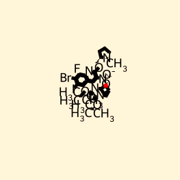 CN1CCC[C@H]1COc1nc2c(F)c(Br)c(I)cc2c(N(C(=O)OC(C)(C)C)C23CC(CN2C(=O)OC(C)(C)C)C3)c1[N+](=O)[O-]